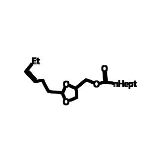 CC/C=C\CCC1OCC(COC(=O)CCCCCCC)O1